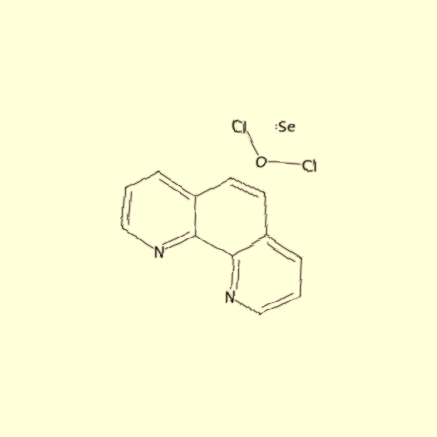 ClOCl.[Se].c1cnc2c(c1)ccc1cccnc12